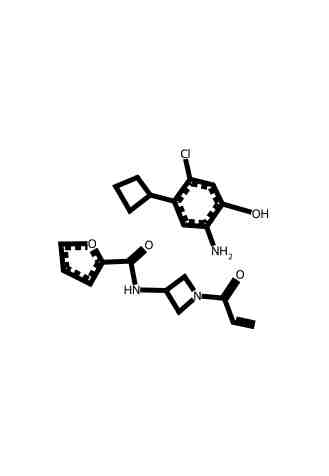 C=CC(=O)N1CC(NC(=O)c2ccco2)C1.Nc1cc(C2CCC2)c(Cl)cc1O